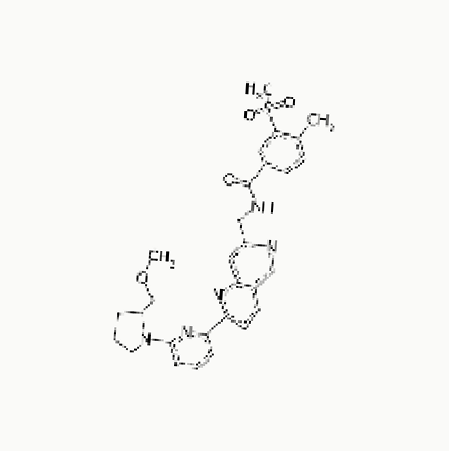 COCC1CCCN1c1cccc(-c2ccc3cnc(CNC(=O)c4ccc(C)c(S(C)(=O)=O)c4)cc3n2)n1